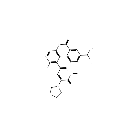 C=C(Nc1cnc(C)c(C(=N)/C=C(\C(=N)OCC)N2CCOC2)c1)c1cccc(C(F)F)c1